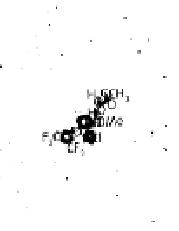 COC(COC(=O)C(=O)N(C)C)[C@@H]1C[C@]2(c3ccccc3)N[C@H]1CC[C@H]2OCc1cc(C(F)(F)F)cc(C(F)(F)F)c1.Cl